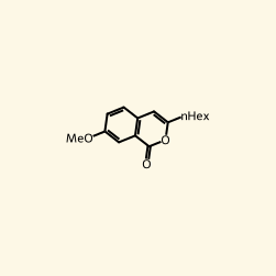 CCCCCCc1cc2ccc(OC)cc2c(=O)o1